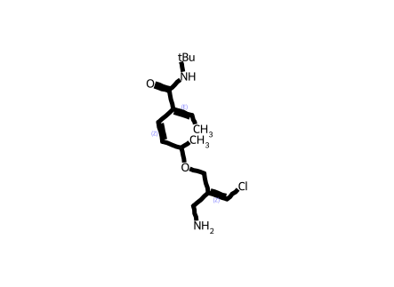 C/C=C(\C=C/C(C)OC/C(=C\Cl)CN)C(=O)NC(C)(C)C